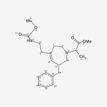 COC(=O)C(C)N1CCC(CCNC(=O)OC(C)(C)C)=CC(Cc2ccccc2)C1